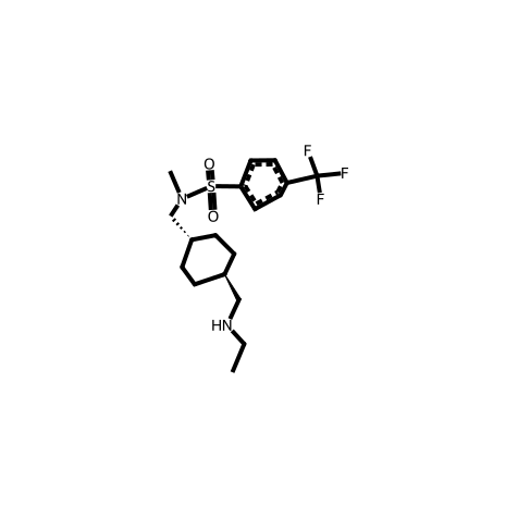 CCNC[C@H]1CC[C@H](CN(C)S(=O)(=O)c2ccc(C(F)(F)F)cc2)CC1